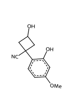 COc1ccc(C2(C#N)CC(O)C2)c(O)c1